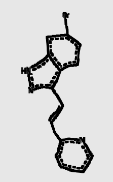 Brc1ccc2c(C=Cc3ccccn3)n[nH]c2c1